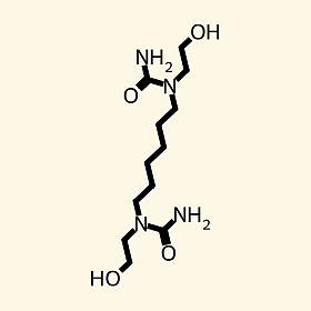 NC(=O)N(CCO)CCCCCCN(CCO)C(N)=O